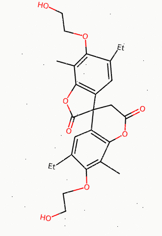 CCc1cc2c(c(C)c1OCCO)OC(=O)CC21C(=O)Oc2c1cc(CC)c(OCCO)c2C